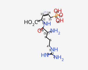 N=C(N)NCCC[C@H](N)C(=O)NC(/C=C\CP(=O)(O)O)C(=O)O